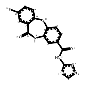 O=C(Nc1nncs1)c1ccc2c(c1)NC(=O)c1cc(F)ccc1S2